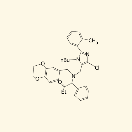 CCCCn1c(-c2ccccc2C)nc(Cl)c1CN(Cc1ccc2c(c1)OCCO2)C(C(=O)CC)c1ccccc1